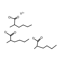 CCCCC(C)C(=O)[O-].CCCCC(C)C(=O)[O-].CCCCC(C)C(=O)[O-].[V+3]